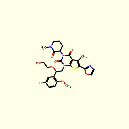 COc1ccc(F)cc1C(Cn1c(=O)n(C2CCCN(C)C2=O)c(=O)c2c(C)c(-c3ncco3)sc21)OCCO